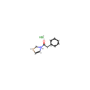 Br.O=C(Cc1ccccc1)N1C=CSC1